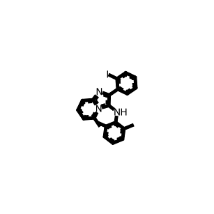 Cc1cccc(C)c1Nc1c(-c2ccccc2I)nc2cccc(C)n12